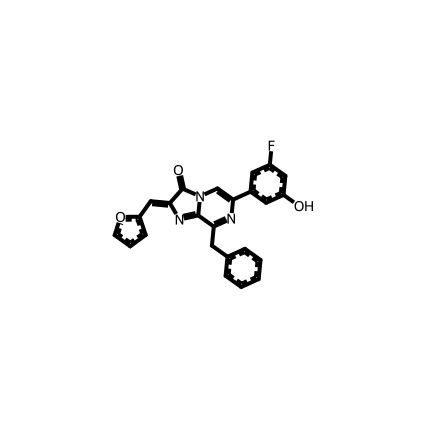 O=C1/C(=C/c2ccco2)N=C2C(Cc3ccccc3)=NC(c3cc(O)cc(F)c3)=CN12